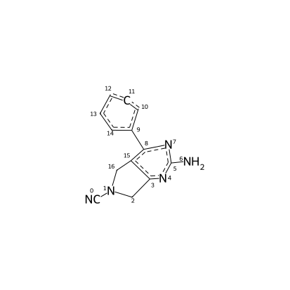 N#CN1Cc2nc(N)nc(-c3ccccc3)c2C1